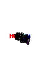 CC(C)(CCC(C)(C)[Si](C)(C)O)n1cc(I)c2cncc(F)c21